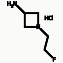 Cl.NC1CN(CCF)C1